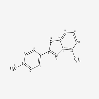 Cc1ccc(-c2nc3c(C)cccc3o2)cc1